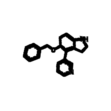 C1=C2NCCC2=C(c2cccnc2)C(OCc2ccccc2)C1